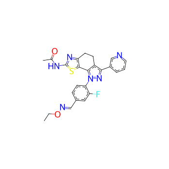 CCON=Cc1ccc(-n2nc(-c3cccnc3)c3c2-c2sc(NC(C)=O)nc2CC3)c(F)c1